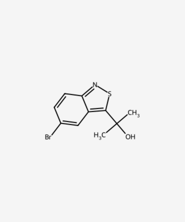 CC(C)(O)c1snc2ccc(Br)cc12